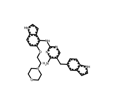 Nc1nc(Nc2c(OCCN3CCOCC3)ccc3[nH]ccc23)ncc1Cc1ccc2[nH]ccc2c1